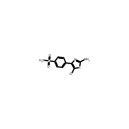 Nc1nc(-c2ccc(S(N)(=O)=O)cc2)c(Cl)s1